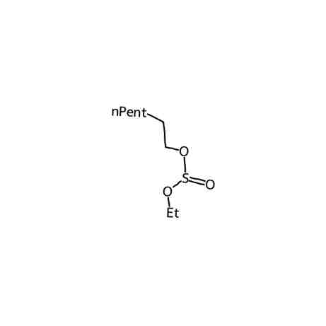 CCCCCCCOS(=O)OCC